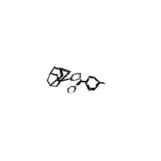 Cc1ccc(C(=O)OC23CC4CC(CC(C4)C2)C3)cc1